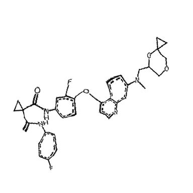 C=C(Nc1ccc(F)cc1)C1(C(=O)Nc2ccc(Oc3ccnc4cc(N(C)CC5COCC6(CC6)O5)ccc34)c(F)c2)CC1